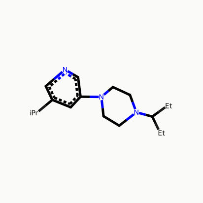 CCC(CC)N1CCN(c2cncc(C(C)C)c2)CC1